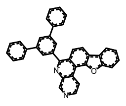 c1ccc(-c2cc(-c3ccccc3)cc(-c3nc4cnccc4c4c3ccc3c5ccccc5oc34)c2)cc1